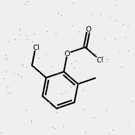 Cc1cccc(CCl)c1OC(=O)Cl